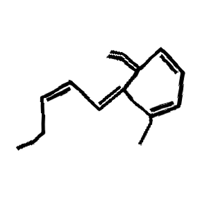 C=c1cccc(C)/c1=C/C=C\CC